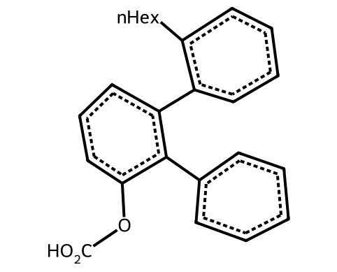 CCCCCCc1ccccc1-c1cccc(OC(=O)O)c1-c1ccccc1